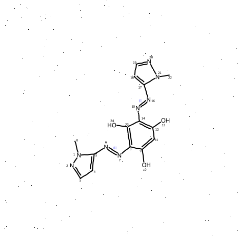 Cn1nccc1/N=N/c1c(O)cc(O)c(/N=N/c2ccnn2C)c1O